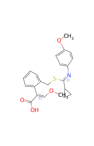 CO/C=C(/C(=O)O)c1ccccc1CS/C(=N\c1ccc(OC)cc1)C1CC1